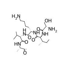 CC[C@H](C)[C@H](NC(=O)[C@@H](N)CO)C(=O)N[C@@H](CCCCN)C(=O)N[C@H](C(=O)N[C@@H](C)[C]=O)C(C)C